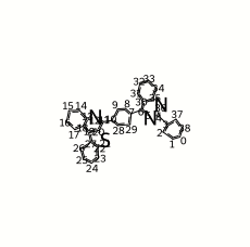 c1ccc(-c2nc(-c3ccc(-c4nc5ccccc5c5c4sc4ccccc45)cc3)c3ccccc3n2)cc1